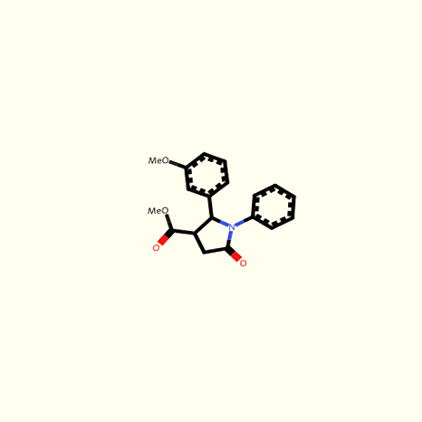 COC(=O)C1CC(=O)N(c2ccccc2)C1c1cccc(OC)c1